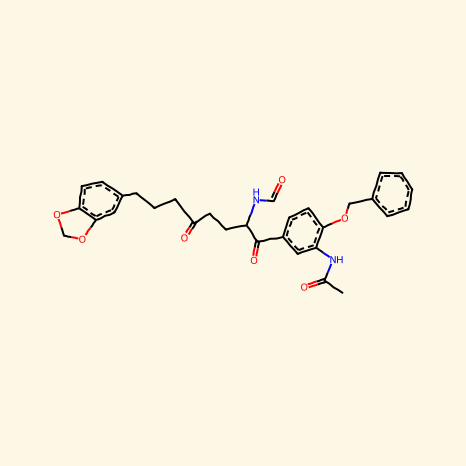 CC(=O)Nc1cc(C(=O)C(CCC(=O)CCCc2ccc3c(c2)OCO3)NC=O)ccc1OCc1ccccc1